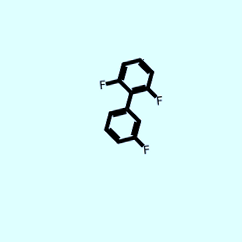 Fc1cccc(-c2c(F)c[c]cc2F)c1